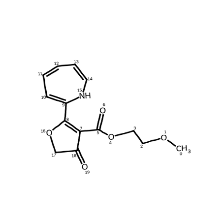 COCCOC(=O)C1=C(C2=CC=CC=CN2)OCC1=O